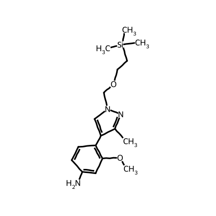 COc1cc(N)ccc1-c1cn(COCC[Si](C)(C)C)nc1C